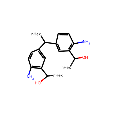 CCCCCCC(O)c1cc(C(CCCCCC)c2ccc(N)c(C(O)CCCCCC)c2)ccc1N